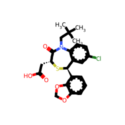 CC(C)(C)CN1C(=O)[C@@H](CC(=O)O)S[C@H](c2cccc3c2OCO3)c2cc(Cl)ccc21